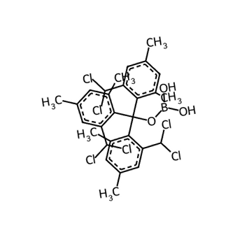 Cc1cc(C)c(C(OB(O)O)(c2c(C)cc(C)cc2C(Cl)Cl)c2c(C)cc(C)cc2C(Cl)Cl)c(C(Cl)Cl)c1